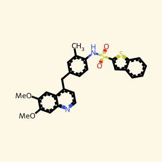 COc1cc2nccc(Cc3ccc(NS(=O)(=O)c4cc5ccccc5s4)c(C)c3)c2cc1OC